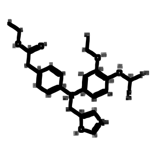 CCOC(=O)Cc1ccc(N(Cc2cnco2)c2ccc(OC(F)F)c(OCC)c2)cc1